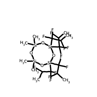 CC(F)C(F)(F)[Si]1(C(F)(F)C(C)F)O[Si](C)(C)O[Si](C)(C)O[Si](C(F)(F)C(C)F)(C(F)(F)C(C)F)O1